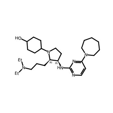 CCN(CC)CCC[C@@H]1[C@H](Nc2nccc(N3CCCCCC3)n2)CCN1C1CCC(O)CC1